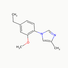 CCc1ccc(-n2cnc(C)c2)c(OC)c1